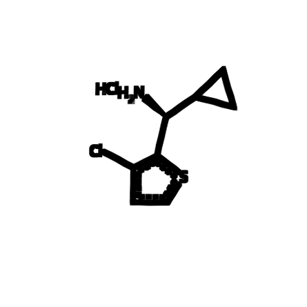 Cl.N[C@H](c1sccc1Cl)C1CC1